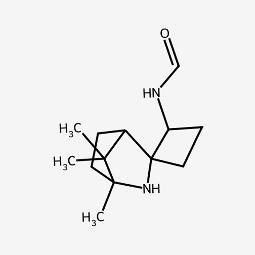 CC12CCC(C3(CCC3NC=O)N1)C2(C)C